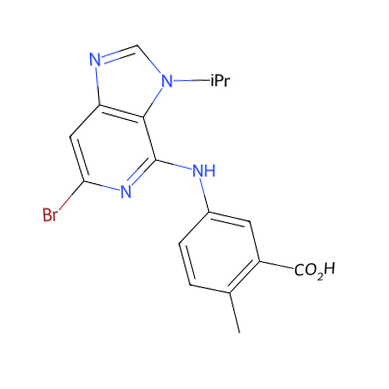 Cc1ccc(Nc2nc(Br)cc3ncn(C(C)C)c23)cc1C(=O)O